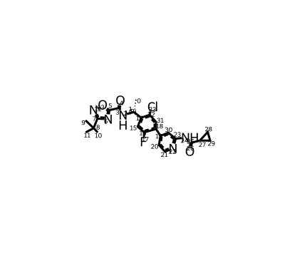 C[C@@H](NC(=O)c1nc(C(C)(C)C)no1)c1cc(F)c(-c2ccnc(NC(=O)C3CC3)c2)cc1Cl